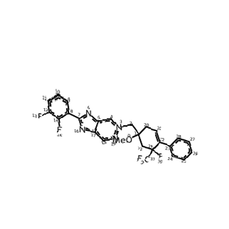 COC1(Cn2cc3nc(-c4cccc(F)c4F)nc-3cn2)CC=C(c2ccccc2)C(F)(C(F)(F)F)C1